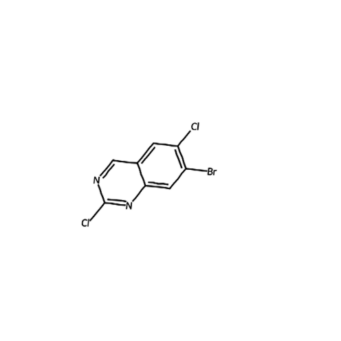 Clc1ncc2cc(Cl)c(Br)cc2n1